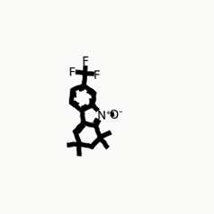 CC1(C)C=C2C(=[N+]([O-])c3cc(C(F)(F)F)ccc32)C(C)(C)C1